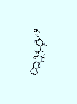 CC(c1ccc2ccccc2n1)[C@@H](C)C(=O)N(C)C(C)C1=CN=C(OCC(F)(F)F)CN1C